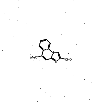 COc1cc2nc(C=O)cn2c2ccccc12